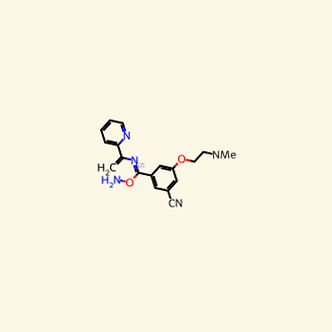 C=C(/N=C(\ON)c1cc(C#N)cc(OCCNC)c1)c1ccccn1